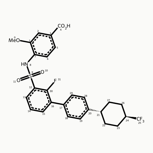 COc1cc(C(=O)O)ccc1NS(=O)(=O)c1cccc(-c2ccc([C@H]3CC[C@H](C(F)(F)F)CC3)cc2)c1F